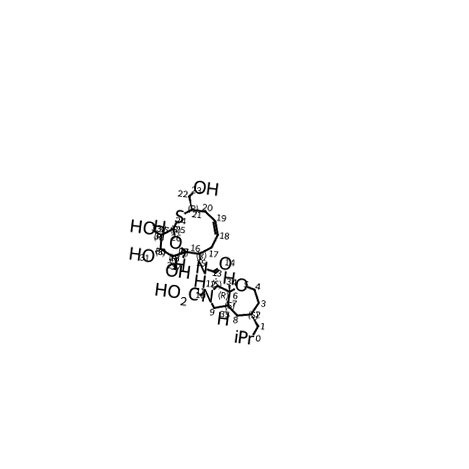 CC(C)C[C@@H]1CCO[C@@H]2[C@@H](C1)CN(C(=O)O)[C@@H]2C(=O)N[C@@H]1CC=CC[C@H](CO)S[C@H]2O[C@H]1[C@H](O)[C@H](O)[C@H]2O